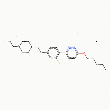 CCCCCOc1ccc(-c2ccc(CC[C@H]3CC[C@H](CCC)CC3)cc2F)nn1